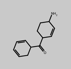 NC1C=CC(C(=O)C2C=CC=CC2)CC1